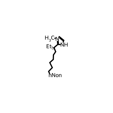 CCCCCCCCCCCCCCC[C@H](CC)c1[nH]cc[n+]1C